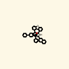 c1ccc(-c2ccc(C3=NC(c4ccc5ccccc5c4)NC(c4cccc5oc6cccc(-c7ccc(-c8ccccc8)cc7)c6c45)=N3)cc2)cc1